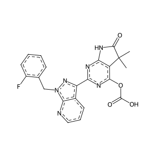 CC1(C)C(=O)Nc2nc(-c3nn(Cc4ccccc4F)c4ncccc34)nc(OC(=O)O)c21